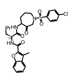 Cc1c(C(=O)N[C@@H](CC(C)C)C(=O)NC2CCCN(S(=O)(=O)c3ccc(Cl)cc3)CC2=O)oc2ccccc12